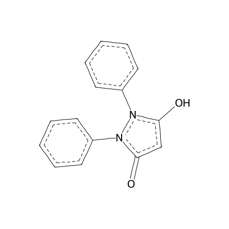 O=c1cc(O)n(-c2ccccc2)n1-c1ccccc1